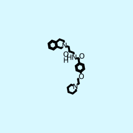 O=C(NCC(O)CN1CCc2ccccc2C1)c1ccc(OCCN2CCCCC2)cc1